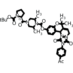 CC(=O)c1ccc(-n2c(=O)n3n(c2=O)C2C(=CC3)C(C)(C)Oc3cc(OC(=O)N4C(C)CN(C(=O)[C@@H]5CCCN5C(=O)OC(C)(C)C)CC4C)ccc32)cc1